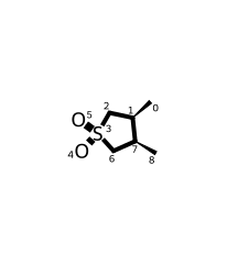 C[C@@H]1CS(=O)(=O)C[C@@H]1C